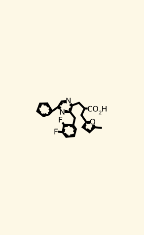 Cc1ccc(CC(Cc2ncc(-c3ccccc3)nc2Cc2cccc(F)c2F)C(=O)O)o1